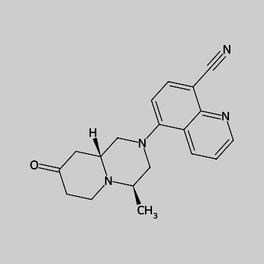 C[C@@H]1CN(c2ccc(C#N)c3ncccc23)C[C@H]2CC(=O)CCN21